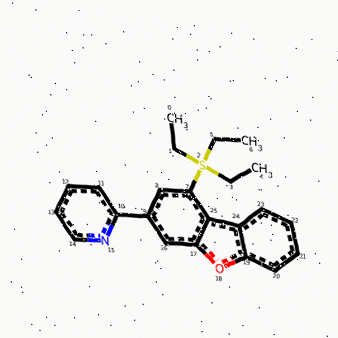 CCS(CC)(CC)c1cc(-c2ccccn2)cc2oc3ccccc3c12